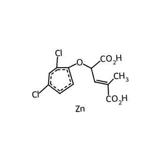 CC(=CC(Oc1ccc(Cl)cc1Cl)C(=O)O)C(=O)O.[Zn]